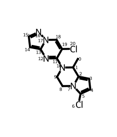 CC1c2ccc(Cl)n2CCN1c1nc2c[c]nn2cc1Cl